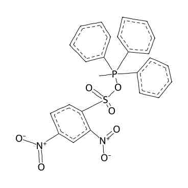 CP(OS(=O)(=O)c1ccc([N+](=O)[O-])cc1[N+](=O)[O-])(c1ccccc1)(c1ccccc1)c1ccccc1